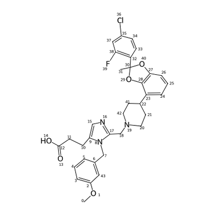 COc1cccc(Cn2c(CCC(=O)O)cnc2CN2CCC(c3cccc4c3OC(C)(c3ccc(Cl)cc3F)O4)CC2)c1